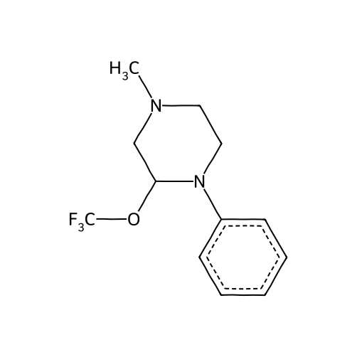 CN1CCN(c2ccccc2)C(OC(F)(F)F)C1